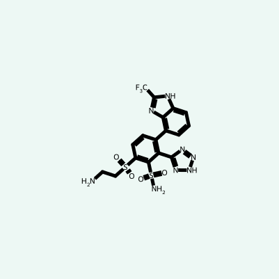 NCCS(=O)(=O)c1ccc(-c2cccc3[nH]c(C(F)(F)F)nc23)c(-c2nn[nH]n2)c1S(N)(=O)=O